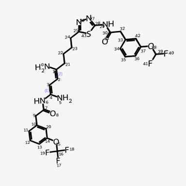 N/C(=C\C=C(/N)NC(=O)Cc1cccc(OC(F)(F)F)c1)CCCCc1nnc(NC(=O)Cc2cccc(OC(F)F)c2)s1